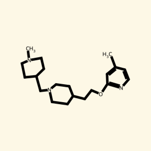 Cc1ccnc(OCCC2CCN(CC3CCN(C)CC3)CC2)c1